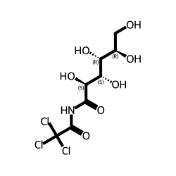 O=C(NC(=O)C(Cl)(Cl)Cl)[C@@H](O)[C@@H](O)[C@H](O)[C@H](O)CO